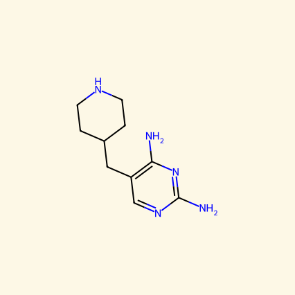 Nc1ncc(CC2CCNCC2)c(N)n1